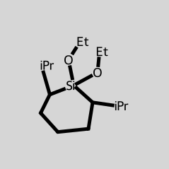 CCO[Si]1(OCC)C(C(C)C)CCCC1C(C)C